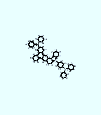 c1ccc(N(c2ccccc2)c2ccc(-n3c4ccccc4c4c5cc6c7ccc(N(c8ccccc8)c8ccccc8)cc7c7ccccc7c6cc5ccc43)cc2)cc1